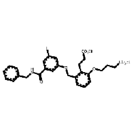 CCOC(=O)CCCOc1cccc(COc2cc(I)cc(C(=O)NCc3ccccc3)c2)c1CCC(=O)OCC